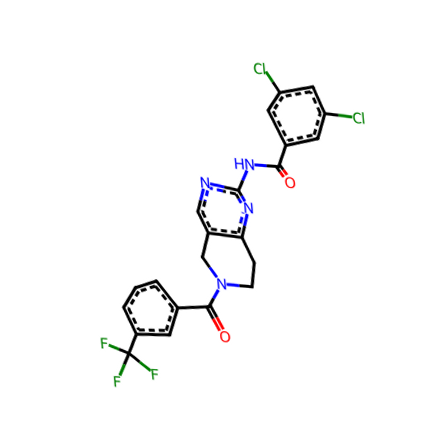 O=C(Nc1ncc2c(n1)CCN(C(=O)c1cccc(C(F)(F)F)c1)C2)c1cc(Cl)cc(Cl)c1